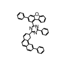 C1=CC(c2nc(-c3ccccc3)nc(-c3cc(-c4ccccc4)cc4oc5ccccc5c34)n2)Cc2c1ccc1ccc(-c3ccccc3)cc21